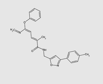 C=N/C(=C\C=C(/C)C(=O)NCc1cc(-c2ccc(C)cc2)no1)Oc1ccccc1